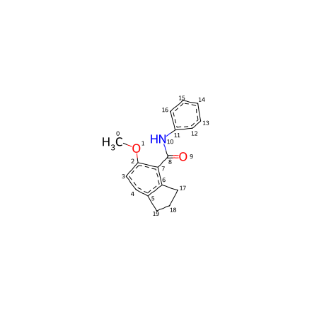 COc1ccc2c(c1C(=O)Nc1ccccc1)CCC2